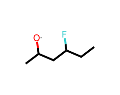 CCC(F)CC(C)[O]